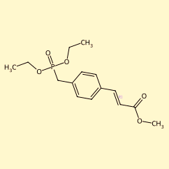 CCOP(=O)(Cc1ccc(/C=C/C(=O)OC)cc1)OCC